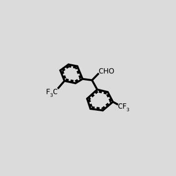 O=CC(c1cccc(C(F)(F)F)c1)c1cccc(C(F)(F)F)c1